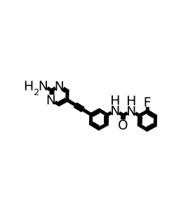 Nc1ncc(C#Cc2cccc(NC(=O)Nc3ccccc3F)c2)cn1